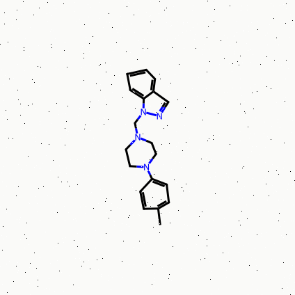 Cc1ccc(N2CCN(Cn3ncc4ccccc43)CC2)cc1